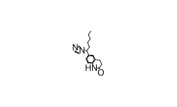 CCCCCC(c1ccc2c(c1)CCC(=O)N2)n1ccnc1